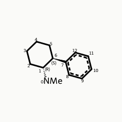 CN[C@@H]1CCCC[C@H]1c1ccccc1